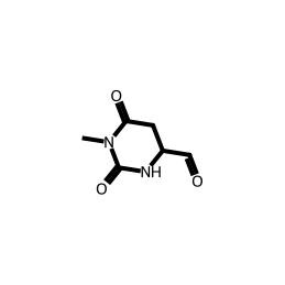 CN1C(=O)CC(C=O)NC1=O